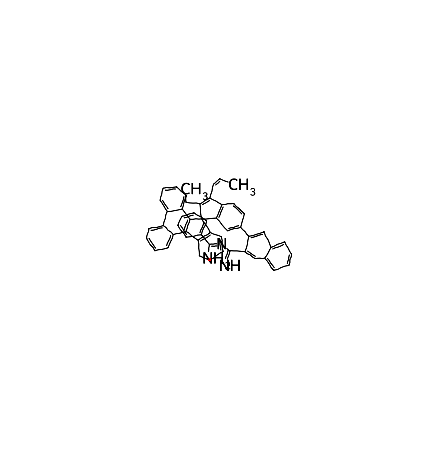 C/C=C\C1=C(CC)C2(C3=C(CCC=C3)c3c2c2ccccc2c2ccccc32)c2cc(-c3cc4ccccc4cc3C(=N)/N=C(\N)c3ccccc3)ccc21